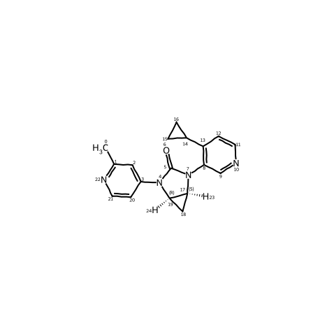 Cc1cc(N2C(=O)N(c3cnccc3C3CC3)[C@H]3C[C@H]32)ccn1